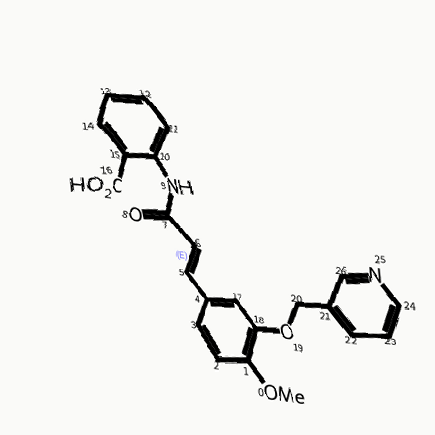 COc1ccc(/C=C/C(=O)Nc2ccccc2C(=O)O)cc1OCc1cccnc1